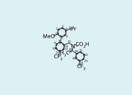 COc1ccc(C(C)C)cc1-c1ccc(C(F)(F)F)cc1CN(C(=O)O)C(C)c1cccc(C(F)(F)F)c1